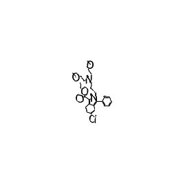 CCOC(=O)c1c2ccc(Cl)cc2c(-c2ccccc2)n1CCCN(CCOC)CCOC